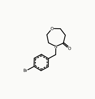 O=C1CCOCCN1Cc1ccc(Br)cc1